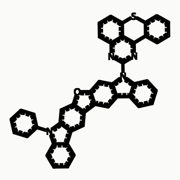 c1ccc(-n2c3ccccc3c3cc4c(cc32)oc2cc3c(cc24)c2ccccc2n3-c2nc3c4c(cccc4n2)Sc2ccccc2-3)cc1